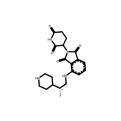 C[C@@H](CNc1cccc2c1C(=O)N(C1CCC(=O)NC1=O)C2=O)C1CCNCC1